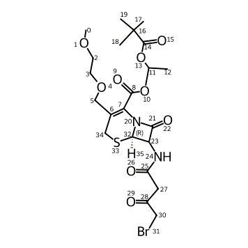 COCCOCC1=C(C(=O)OC(C)OC(=O)C(C)(C)C)N2C(=O)C(NC(=O)CC(=O)CBr)[C@H]2SC1